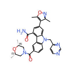 Cc1noc(C)c1-c1cc(C(N)=O)c2c3cc(C(=O)N4C[C@@H](C)O[C@@H](C)C4)ccc3n(Cc3ccncn3)c2c1